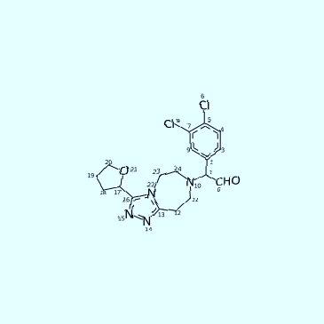 O=CC(c1ccc(Cl)c(Cl)c1)N1CCc2nnc(C3CCCO3)n2CC1